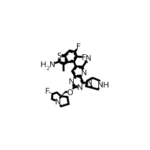 Cc1c(N)sc2cc(F)c(F)c(-c3cc4nc(OC[C@@]56CCCN5C[C@H](F)C6)nc(N5C6CCC5CNC6)c4nc3C#N)c12